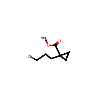 CC(C)(C)OC(=O)C1(CCCCl)CC1